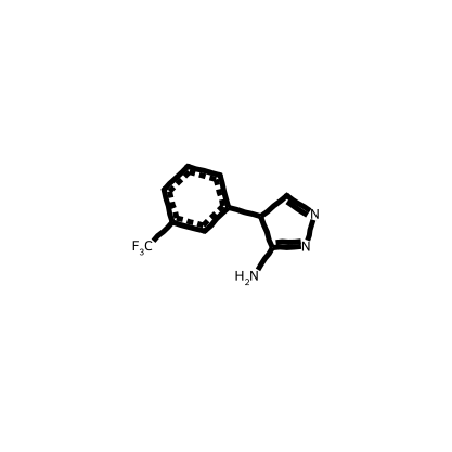 NC1=NN=CC1c1cccc(C(F)(F)F)c1